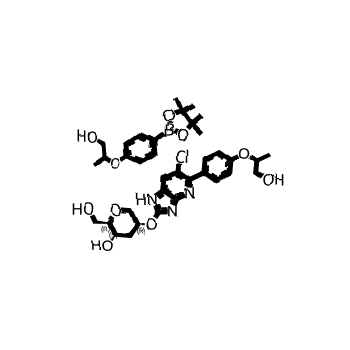 CC(CO)Oc1ccc(-c2nc3nc(O[C@H]4CO[C@H](CO)[C@@H](O)C4)[nH]c3cc2Cl)cc1.CC(CO)Oc1ccc(B2OC(C)(C)C(C)(C)O2)cc1